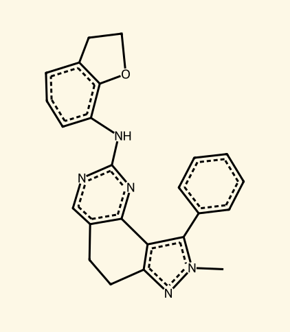 Cn1nc2c(c1-c1ccccc1)-c1nc(Nc3cccc4c3OCC4)ncc1CC2